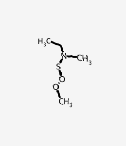 CCN(C)SOOC